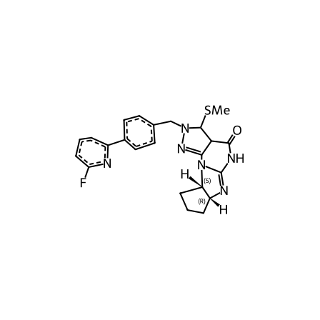 CSC1C2C(=O)NC3=N[C@@H]4CCC[C@@H]4N3C2=NN1Cc1ccc(-c2cccc(F)n2)cc1